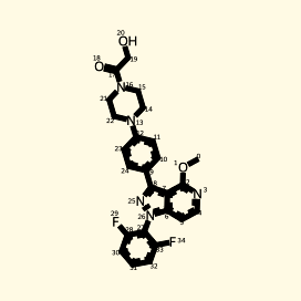 COc1nccc2c1c(-c1ccc(N3CCN(C(=O)CO)CC3)cc1)nn2-c1c(F)cccc1F